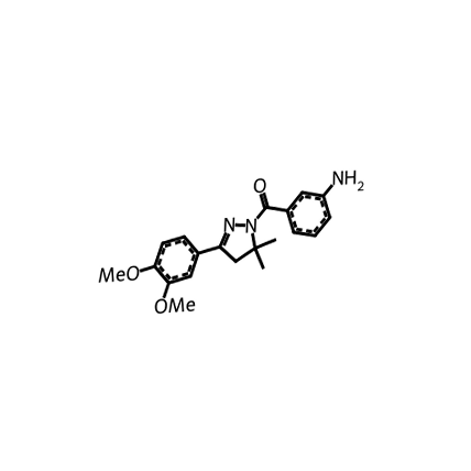 COc1ccc(C2=NN(C(=O)c3cccc(N)c3)C(C)(C)C2)cc1OC